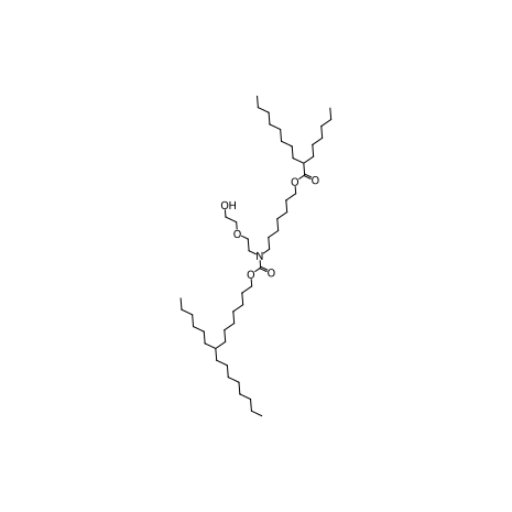 CCCCCCCCC(CCCCCC)CCCCCCCOC(=O)N(CCCCCCCOC(=O)C(CCCCCC)CCCCCCCC)CCOCCO